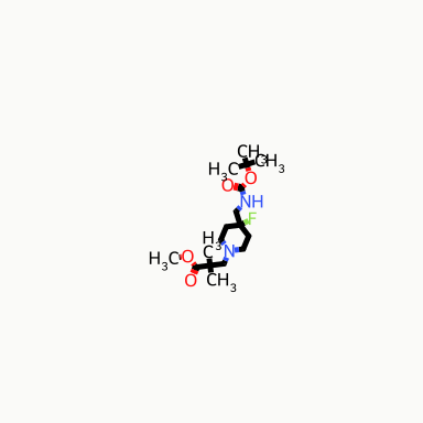 COC(=O)C(C)(C)CN1CCC(F)(CNC(=O)OC(C)(C)C)CC1